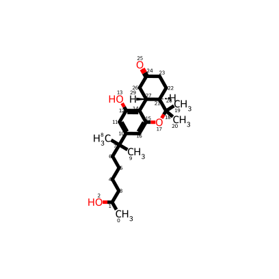 CC(O)CCCCC(C)(C)c1cc(O)c2c(c1)OC(C)(C)[C@@H]1CCC(=O)C[C@@H]21